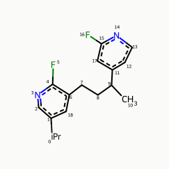 CC(C)c1cnc(F)c(CCC(C)c2ccnc(F)c2)c1